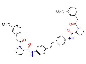 COc1cccc(CC(=O)N2CCC[C@H]2C(=O)Nc2ccc(/C=C/c3ccc(NC(=O)[C@@H]4CCCN4C(=O)Cc4cccc(OC)c4)cc3)cc2)c1